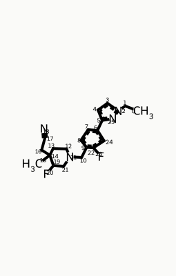 CCn1ccc(-c2ccc(CN3CCC(C)(CC#N)C(F)C3)c(F)c2)n1